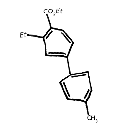 CCOC(=O)c1ccc(-c2ccc(C)cc2)cc1CC